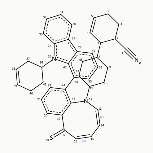 N#CC1CCC=CC1C1CCC(N2/C=C\C=C/C(=S)c3cccc(-c4cccc5c6ccccc6n(C6CC=CCC6)c45)c32)CC1